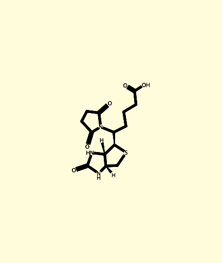 O=C(O)CCCC([C@H]1SC[C@@H]2NC(=O)N[C@@H]21)N1C(=O)CCC1=O